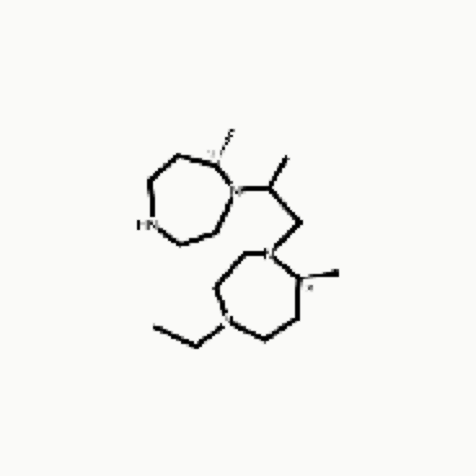 CCN1CC[C@H](C)N(CC(C)N2CCNCC[C@@H]2C)CC1